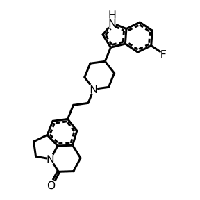 O=C1CCc2cc(CCN3CCC(c4c[nH]c5ccc(F)cc45)CC3)cc3c2N1CC3